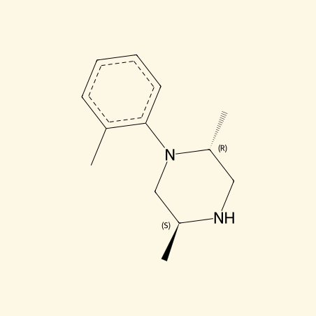 Cc1ccccc1N1C[C@H](C)NC[C@H]1C